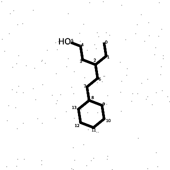 CCC(CCO)CCC1CCCCC1